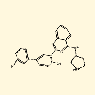 Oc1ccc(-c2cccc(F)c2)cc1-c1nc(NC2CCNC2)c2ccccc2n1